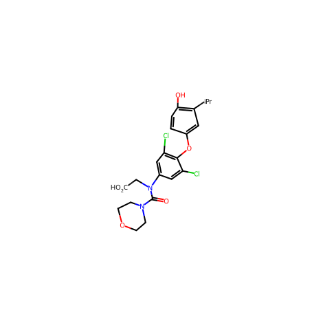 CC(C)c1cc(Oc2c(Cl)cc(N(CC(=O)O)C(=O)N3CCOCC3)cc2Cl)ccc1O